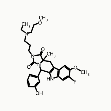 CCN(CCCN1C(=O)N2C(c3cccc(O)c3)c3[nH]c4cc(F)c(OC)cc4c3CC2(C)C1=O)CCOC